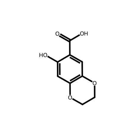 O=C(O)c1cc2c(cc1O)OCCO2